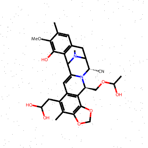 COc1c(C)cc2c(c1O)C1C3=Cc4c(CC(O)O)c(C)c5c(c4[C@H](COC(C)O)N3[C@@H](C#N)C(C2)N1C)OCO5